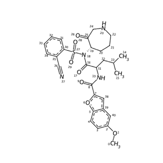 COc1ccc2oc(C(=O)NC(CC(C)C)C(=O)N([C@H]3CCCNCC3=O)S(=O)(=O)c3ccccc3C#N)cc2c1